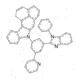 C1=Cc2cccc3cc4c(c(c23)C1)c1ccccc1n4-c1cc(-c2ccccn2)cc(-c2nc3ccccc3n2-c2ccccc2)c1